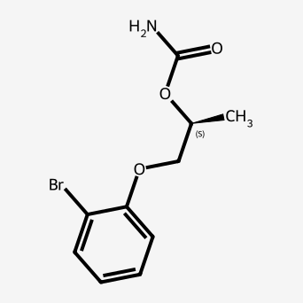 C[C@@H](COc1ccccc1Br)OC(N)=O